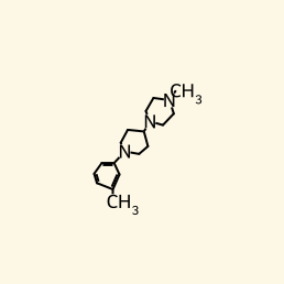 Cc1cccc(N2CCC(N3CCN(C)CC3)CC2)c1